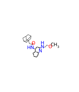 COCCNc1cc(NC(=O)CC23CC4CC(CC(C4)C2)C3)c2ccccc2n1